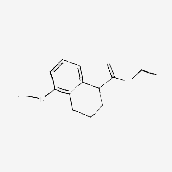 CCOC(=O)C1CCCc2c(NN)cccc21